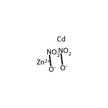 O=[N+]([O-])[O-].O=[N+]([O-])[O-].[Cd].[Zn+2]